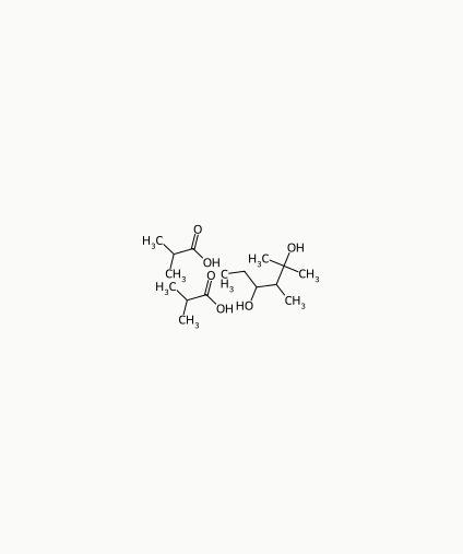 CC(C)C(=O)O.CC(C)C(=O)O.CCC(O)C(C)C(C)(C)O